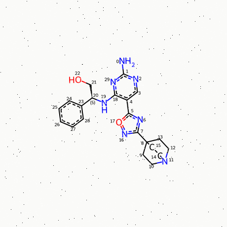 Nc1ncc(-c2nc(C34CCN(CC3)CC4)no2)c(N[C@H](CO)c2ccccc2)n1